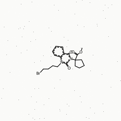 COC(=O)C1(n2c(=O)c3ccccc3n(CCCCBr)c2=O)CCCC1